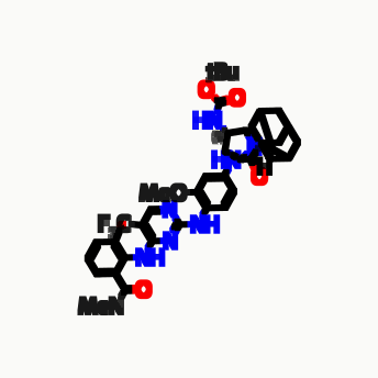 CNC(=O)c1cccc(C)c1Nc1nc(Nc2ccc(NC(=O)[C@]34CC5CC(C3)[C@@H](N3CC[C@H](NC(=O)OC(C)(C)C)C3)C(C5)C4)cc2OC)ncc1C(F)(F)F